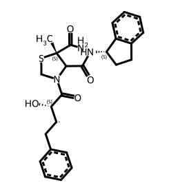 C[C@]1(C(N)=O)SCN(C(=O)[C@@H](O)[CH]Cc2ccccc2)C1C(=O)N[C@H]1CCc2ccccc21